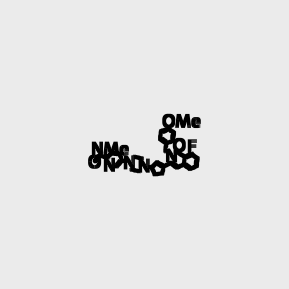 CNC(=O)c1ccc(N2CCN(C3C=C(c4cc5cccc(F)c5c(=O)n4Cc4ccc(OC)cc4)CC3)CC2)cn1